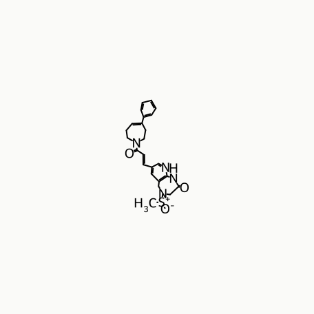 C[S+]([O-])N1CC(=O)Nc2ncc(/C=C/C(=O)N3CCC=C(c4ccccc4)CC3)cc2C1